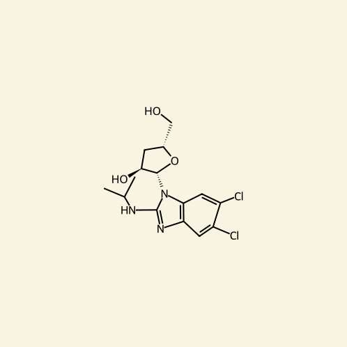 CC(C)Nc1nc2cc(Cl)c(Cl)cc2n1[C@H]1O[C@@H](CO)C[C@@H]1O